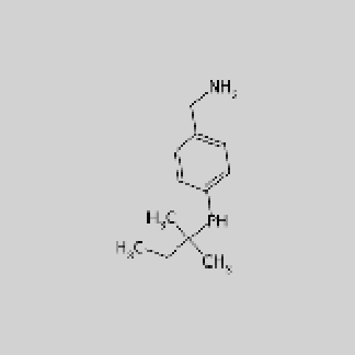 CCC(C)(C)Pc1ccc(CN)cc1